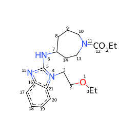 CCOCCn1c(NC2CCCN(C(=O)OCC)CC2)nc2ccccc21